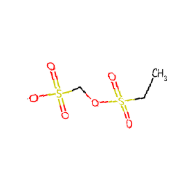 CCS(=O)(=O)OCS([O])(=O)=O